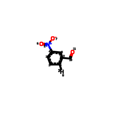 [2H]c1ccc([N+](=O)[O-])cc1C=O